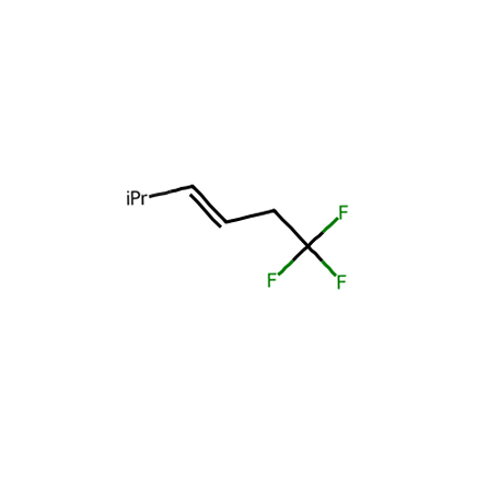 CC(C)C=CCC(F)(F)F